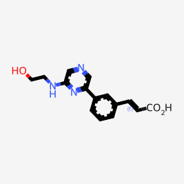 O=C(O)/C=C/c1cccc(-c2cncc(NCCO)n2)c1